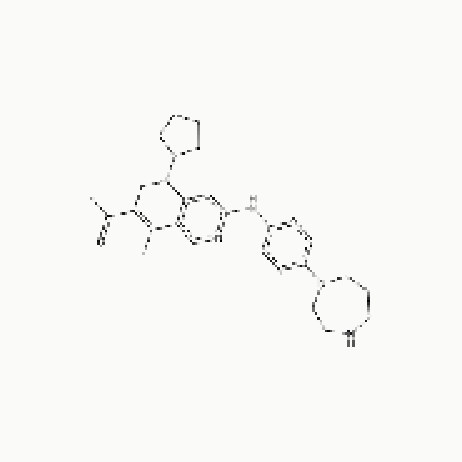 CC(=O)C1=C(C)c2cnc(Nc3cnc(N4CCCNCC4)cn3)cc2N(C2CCCC2)C1